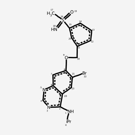 CC(C)Nc1ncnc2cc(OCc3cccc(S(C)(=N)=O)c3)c(Br)cc12